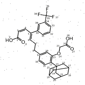 O=C(O)/C=C\C(=C\CCc1ccc(C23CC4CC(CC(C4)C2)C3)c(OCC(=O)O)c1)c1cccc(C(F)(F)F)c1